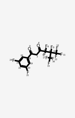 O=C(CC(=O)C(F)(F)C(F)(C(F)(F)F)C(F)(F)F)c1cc(F)cc(F)c1